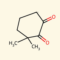 CC1(C)CC[CH]C(=O)C1=O